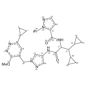 COc1nnc(C2CC2)cc1Cn1cc(NC(=O)C(NC(=O)c2ccnn2C(C)C)C(C2CC2)C2CC2)cn1